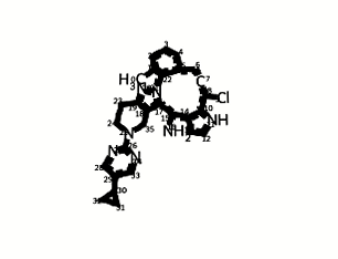 Cc1cccc2ccc(Cl)c3[nH]ccc3c(N)c3c4c(nn3c12)CCN(c1ncc(C2CC2)cn1)C4